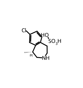 C[C@H]1CNCCc2ccc(Cl)cc21.O=S(=O)(O)O